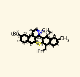 Cc1ccc2c(CC(C)C)c3c(c(C)c2c1)-c1c2c(cc4ccc(C(C)(C)C)cc4c2cc[n+]1C)S3